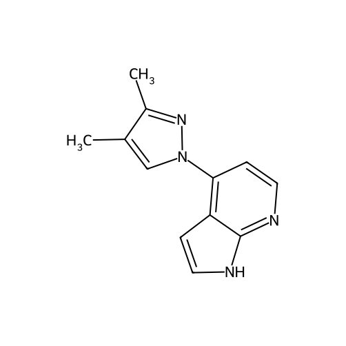 Cc1cn(-c2ccnc3[nH]ccc23)nc1C